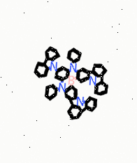 c1ccc(N2c3cc4c5cccc6c7ccccc7n(c4cc3B3c4cc7c(cc4N(c4ccccc4)c4cc(-n8c9ccccc9c9ccccc98)cc2c43)c2cccc3c4ccccc4n7c32)c65)cc1